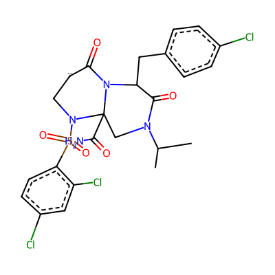 CC(C)N1CC2(C(N)=O)N(C(=O)[C]CN2S(=O)(=O)c2ccc(Cl)cc2Cl)C(Cc2ccc(Cl)cc2)C1=O